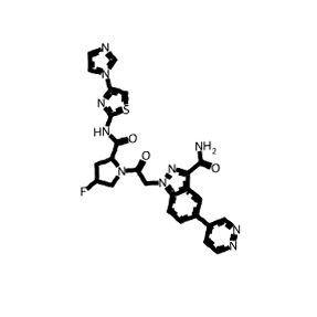 NC(=O)c1nn(CC(=O)N2CC(F)CC2C(=O)Nc2nc(-n3ccnc3)cs2)c2ccc(-c3ccnnc3)cc12